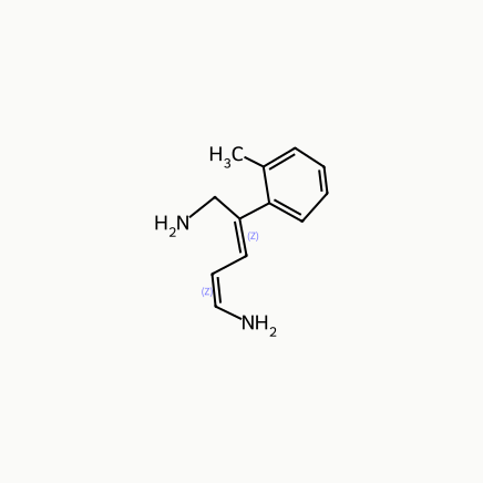 Cc1ccccc1/C(=C/C=C\N)CN